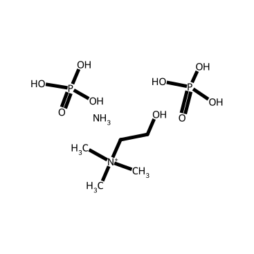 C[N+](C)(C)CCO.N.O=P(O)(O)O.O=P(O)(O)O